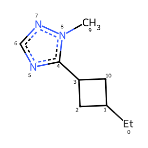 CCC1CC(c2ncnn2C)C1